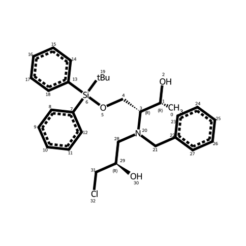 C[C@@H](O)[C@@H](CO[Si](c1ccccc1)(c1ccccc1)C(C)(C)C)N(Cc1ccccc1)C[C@@H](O)CCl